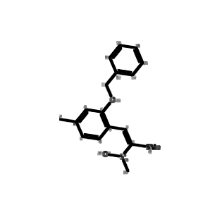 CSC(=Cc1ccc(C)cc1OCc1ccccc1)[S+](C)[O-]